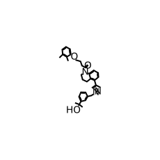 Cc1cccc(OCCCC(=O)N2CCCc3c(-c4cnn(Cc5cccc(C(C)(C)O)c5)c4)cccc32)c1C